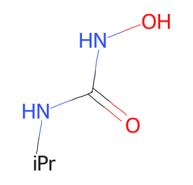 CC(C)NC(=O)NO